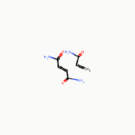 C=CC(N)=O.NC(=O)C=CC(N)=O